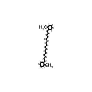 Cc1ccccc1CCCCCCCCCCCCCCCCc1ccccc1C